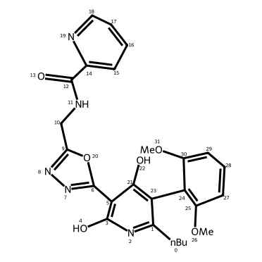 CCCCc1nc(O)c(-c2nnc(CNC(=O)c3ccccn3)o2)c(O)c1-c1c(OC)cccc1OC